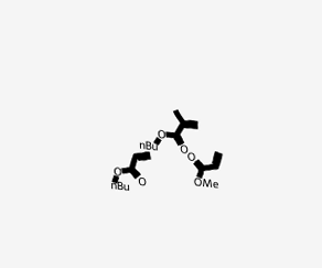 C=C(C)C(=O)OCCCC.C=CC(=O)OC.C=CC(=O)OCCCC